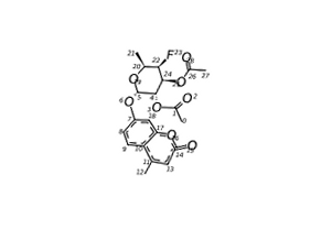 CC(=O)O[C@@H]1[C@H](Oc2ccc3c(C)cc(=O)oc3c2)O[C@@H](C)[C@@H](F)[C@H]1OC(C)=O